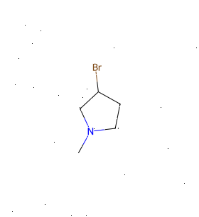 CN1[CH]CC(Br)C1